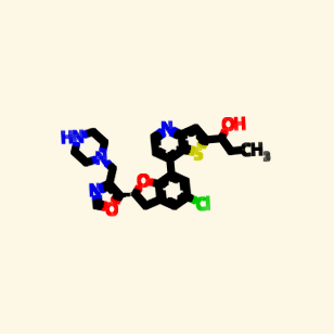 CCC(O)c1cc2nccc(-c3cc(Cl)cc4c3O[C@@H](c3ocnc3CN3CCNCC3)C4)c2s1